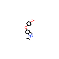 COc1ccc(Oc2ccc3c(cnn3C(C)C)c2)cc1